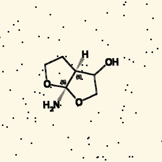 N[C@]12OCC[C@H]1C(O)CO2